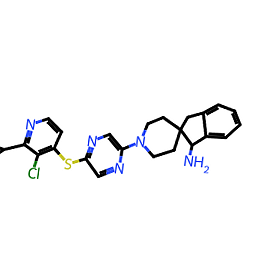 NC1c2ccccc2CC12CCN(c1cnc(Sc3ccnc(C4CC4)c3Cl)cn1)CC2